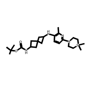 Cc1nc(N2CC[Si](C)(C)CC2)ccc1NC1CC2(CC(NC(=O)OC(C)(C)C)C2)C1